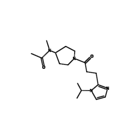 CC(=O)N(C)C1CCN(C(=O)CCc2nccn2C(C)C)CC1